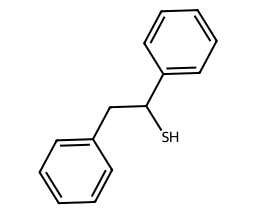 SC(Cc1ccccc1)c1ccccc1